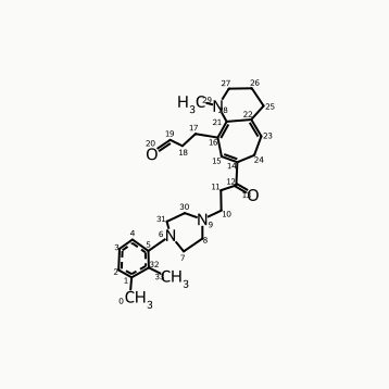 Cc1cccc(N2CCN(CCC(=O)C3=CC(CCC=O)=C4C(=CC3)CCCN4C)CC2)c1C